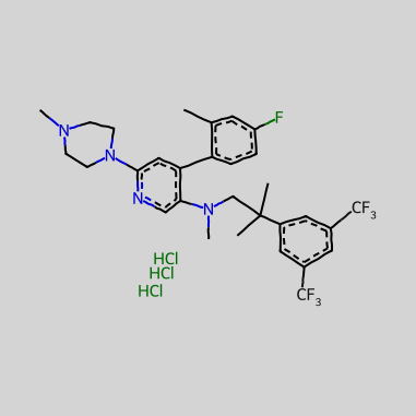 Cc1cc(F)ccc1-c1cc(N2CCN(C)CC2)ncc1N(C)CC(C)(C)c1cc(C(F)(F)F)cc(C(F)(F)F)c1.Cl.Cl.Cl